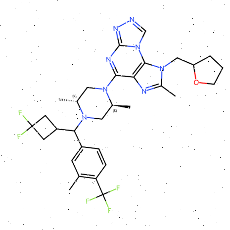 Cc1cc(C(C2CC(F)(F)C2)N2C[C@H](C)N(c3nc4nncn4c4c3nc(C)n4CC3CCCO3)C[C@H]2C)ccc1C(F)(F)F